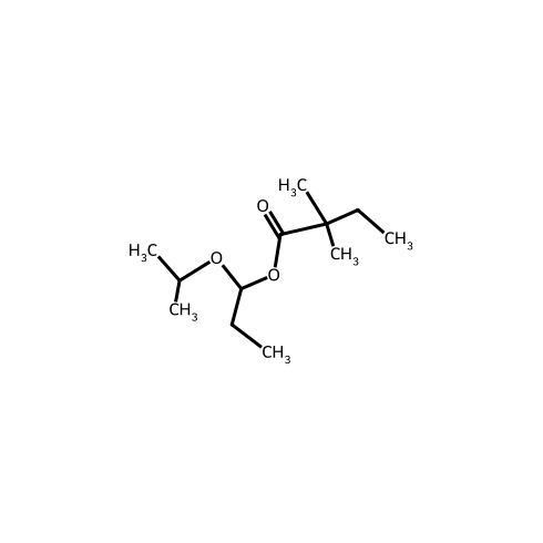 CCC(OC(=O)C(C)(C)CC)OC(C)C